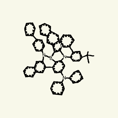 CC(C)(C)c1ccc(N2c3cc(N(c4ccccc4)c4ccccc4)cc4c3B(c3c2oc2cc5ccccc5cc32)N(c2ccc(-c3ccccc3)cc2)c2cc3ccccc3cc2-4)c(-c2ccccc2)c1